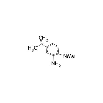 C=C(C)c1ccc(NC)c(N)c1